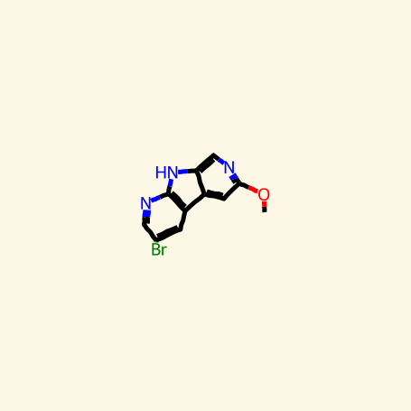 COc1cc2c(cn1)[nH]c1ncc(Br)cc12